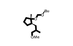 CC[C@H](C)OCO[C@@]1(C)CCC[C@@H]1CC(C)COC